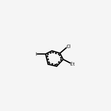 [CH2]Cc1ccc(I)cc1Cl